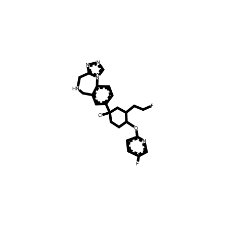 FCCC1CC(Cl)(c2ccc3c(c2)CNCc2nncn2-3)CCC1Oc1ccc(F)cn1